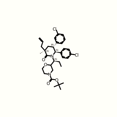 C=CC[C@@]1(C)C[C@H](c2cccc(Cl)c2)[C@@H](c2ccc(Cl)cc2)N([C@@H](CC)C2CN(C(=O)OC(C)(C)C)CCO2)C1=O